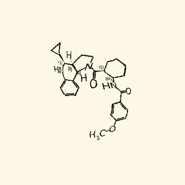 COc1ccc(C(=O)N[C@@H]2CCCC[C@@H]2C(=O)N2CC[C@@H]3[C@H](C4CC4)Nc4ccccc4[C@@H]32)cc1